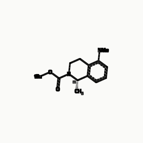 CNc1cccc2c1CCN(C(=O)OC(C)(C)C)[C@H]2C